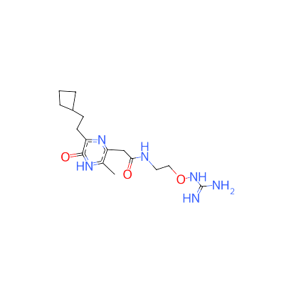 Cc1[nH]c(=O)c(CCC2CCC2)nc1CC(=O)NCCONC(=N)N